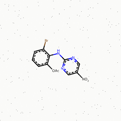 CC(=O)Oc1cccc(Br)c1Nc1ncc([N+](=O)[O-])cn1